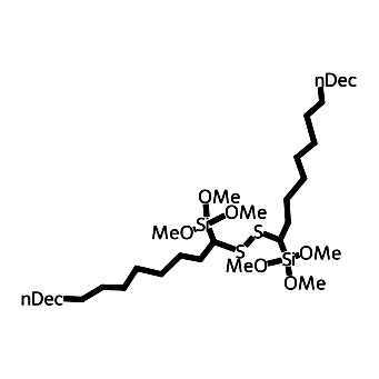 CCCCCCCCCCCCCCCCCC(SSC(CCCCCCCCCCCCCCCCC)[Si](OC)(OC)OC)[Si](OC)(OC)OC